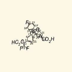 O=C(O)C(=C(F)F)c1ccc([C@]2(S(=O)(=O)c3ccc(F)cc3)CCN(C(=O)O)C2)cc1